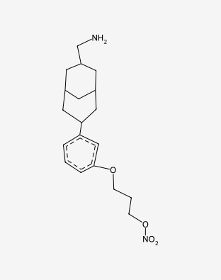 NCC1CC2CC(C1)CC(c1cccc(OCCCO[N+](=O)[O-])c1)C2